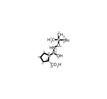 CC(C)(C)[Si](C)(C)ONN(O)N1CCC[C@H]1C(=O)O